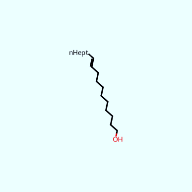 CCCCCCCC=CCCCCCCCCCO